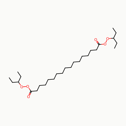 CCC(CC)OOC(=O)CCCCCCCCCCCCCCCC(=O)OOC(CC)CC